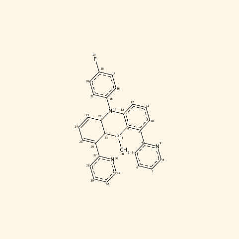 CP1c2c(-c3ccccn3)cccc2N(c2ccc(F)cc2)C2C=CC=C(c3ccccn3)C21